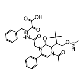 CC(=O)N1C=C(c2ccccc2)N(CC(=O)N[C@@H](Cc2ccccc2)C(=O)C(=O)O)C(=O)C1C(CO[SiH](C)C)C(C)(C)C